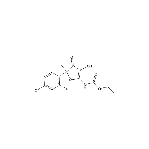 CCOC(=O)NC1=C(O)C(=O)C(C)(c2ccc(Cl)cc2F)O1